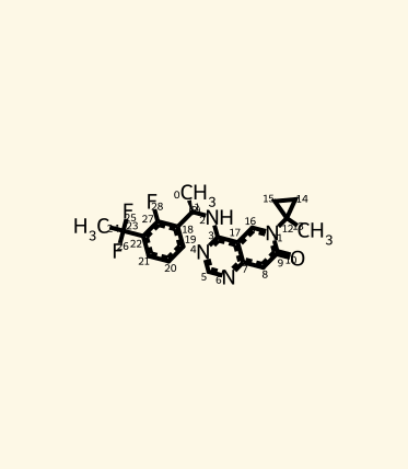 C[C@@H](Nc1ncnc2cc(=O)n(C3(C)CC3)cc12)c1cccc(C(C)(F)F)c1F